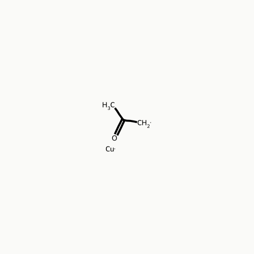 [CH2]C(C)=O.[Cu]